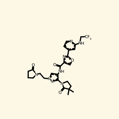 CC1(C)CCN(c2nn(CCN3CCCC3=O)cc2NC(=O)c2coc(-c3ccnc(NCC(F)(F)F)c3)n2)C1=O